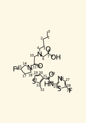 CCCCCN(CC(=O)O)CC(=O)N1C[C@H](F)C[C@H]1c1cc(C(=O)Nc2ncc(F)s2)c(C)s1